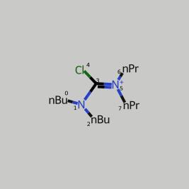 CCCCN(CCCC)C(Cl)=[N+](CCC)CCC